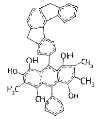 Cc1c(O)c(O)c2c(-c3ccc4c(c3)Cc3ccc5c(c3-4)-c3ccccc3C5)c3c(O)c(C)c(C)c(O)c3c(-c3ccccc3)c2c1C